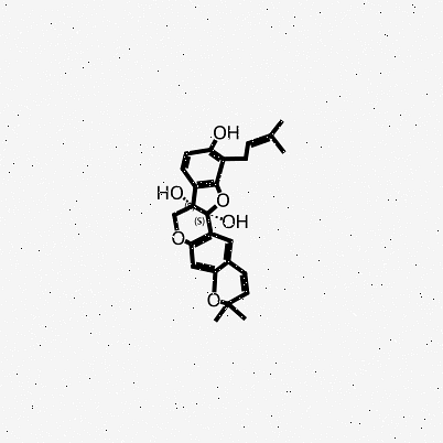 CC(C)=CCc1c(O)ccc2c1O[C@@]1(O)c3cc4c(cc3OC[C@@]21O)OC(C)(C)C=C4